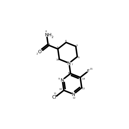 NC(=O)C1CCCN(c2nc(Cl)ncc2F)C1